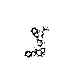 N=C(N)NCCC[C@H](NC(=O)[C@@H]1CC[C@@H]2CC[C@](N)(Cc3ccccc3)C(=O)N21)C(=O)c1nc2ccccc2s1